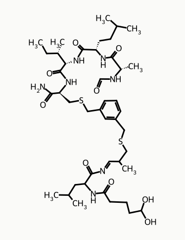 CC[C@H](C)[C@H](NC(=O)[C@H](CCC(C)C)NC(=O)[C@H](C)NC=O)C(=O)N[C@@H](CSCc1cccc(CSCC(C)/C=N/C(=O)C(CC(C)C)NC(=O)CCCC(O)O)c1)C(N)=O